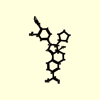 [C-]#[N+]c1ccc(N2N=C3c4ccc(C(=O)O)cc4CC[C@@H]3[C@@H]2C2CCCC2)cc1O